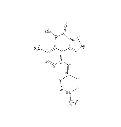 CC(C)(C)OC(=O)c1n[nH]cc1-c1cc(C(F)(F)F)ccc1C=C1CCN(C(=O)O)CC1